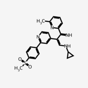 Cc1cccc(C(=N)/C(=C\NC2CC2)c2ccnc(-c3ccc(S(C)(=O)=O)cc3)c2)n1